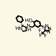 Oc1ccc(-n2nnnc2C(F)(F)F)cc1CN[C@@H]1CCN[C@@H]1c1ccccc1